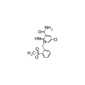 CS(=O)(=O)c1ccccc1Cn1cc(Cl)cc(C(N)=O)c1=N